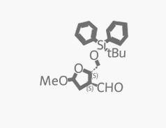 COC1C[C@H](C=O)[C@@H](CO[Si](c2ccccc2)(c2ccccc2)C(C)(C)C)O1